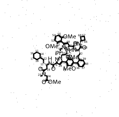 CCC(CC)Cn1nc(C(=O)N[C@@H](CCC2CCCCC2)CC(=O)N(C)CC(=O)OC)cc1-c1c(OC)cc(-c2ccccc2CC[C@H](NC(=O)c2cc(-c3c(OC)cccc3OC)n(CC(C)C)n2)C(=O)NC2CCC2)cc1OC